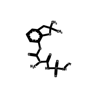 CC(C)NS(=O)(=O)NC(=O)N(C)C(=O)Oc1cccc2c1OC(C)(C)C2